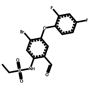 CCS(=O)(=O)Nc1cc(Br)c(Oc2ccc(F)cc2F)cc1C=O